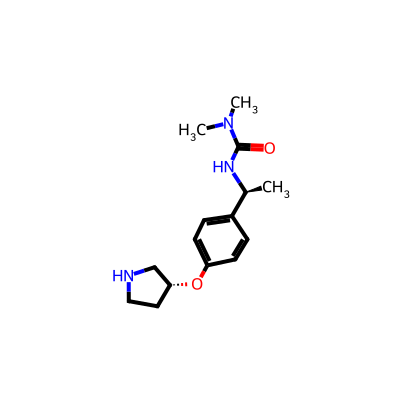 C[C@H](NC(=O)N(C)C)c1ccc(O[C@@H]2CCNC2)cc1